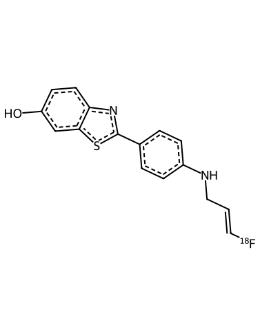 Oc1ccc2nc(-c3ccc(NC/C=C/[18F])cc3)sc2c1